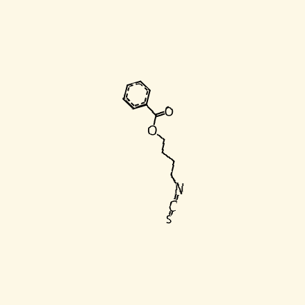 O=C(OCCCCN=C=S)c1ccccc1